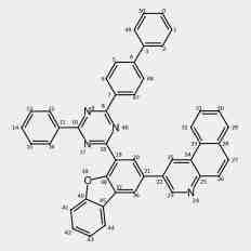 c1ccc(-c2ccc(-c3nc(-c4ccccc4)nc(-c4cc(-c5cnc6ccc7ccccc7c6c5)cc5c4oc4ccccc45)n3)cc2)cc1